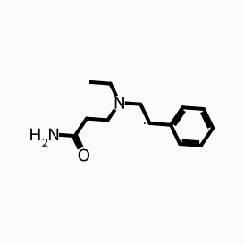 CCN(C[CH]c1ccccc1)CCC(N)=O